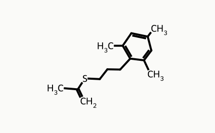 C=C(C)SCCCc1c(C)cc(C)cc1C